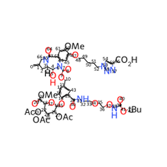 C=C1C[C@H]2C(O)N(C(=O)OCc3ccc(O[C@@H]4O[C@H](C(=O)OC)[C@@H](OC(C)=O)[C@H](OC(C)=O)[C@H]4OC(C)=O)c(C(=O)NCCOCCONC(=O)OC(C)(C)C)c3)c3cc(OCCCCCn4cc(C(=O)O)nn4)c(OC)cc3C(=O)N2C1